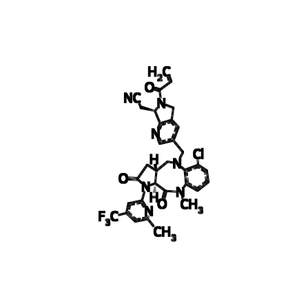 C=CC(=O)N1Cc2cc(CN3C[C@H]4CC(=O)N(c5cc(C(F)(F)F)cc(C)n5)[C@@H]4C(=O)N(C)c4cccc(Cl)c43)cnc2[C@H]1CC#N